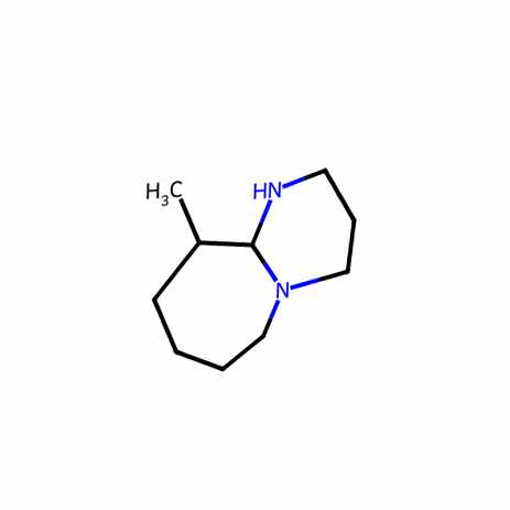 CC1CCCCN2CCCNC12